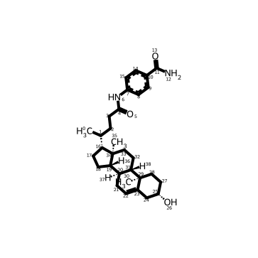 CC(CCC(=O)Nc1ccc(C(N)=O)cc1)[C@H]1CC[C@H]2[C@@H]3CC=C4C[C@@H](O)CC[C@]4(C)[C@H]3CC[C@]12C